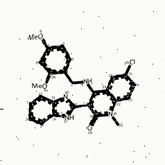 COc1ccc(CNc2c(-c3nc4ccccc4[nH]3)c(=O)n(C)c3ccc(Cl)cc23)c(OC)c1